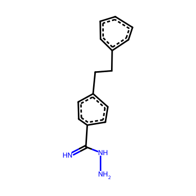 N=C(NN)c1ccc(CCc2ccccc2)cc1